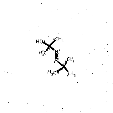 CC(C)(C)/N=N/C(C)(C)O